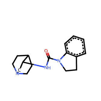 O=C(NC1CN2CCC1CC2)N1CCc2ccccc21